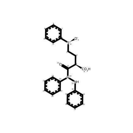 O=C(O)[C@H](CC[S@+]([O-])c1ccccc1)C(=O)N(Nc1ccccc1)c1ccccc1